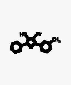 Cc1cccc(-n2nc(-c3ccccc3)c(O)c2C(C)C)c1